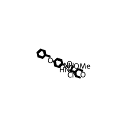 COC(=O)C(C#N)(NNc1ccc(OCc2ccccc2)cc1)C1CCOCC1